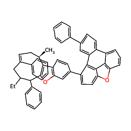 CCC1C/C(c2ccccc2)=C/C[C@@H](C)c2c(oc3cc(-c4ccc5oc6cccc7c8ccc(-c9ccccc9)cc8c4c5c67)ccc23)C1c1ccccc1